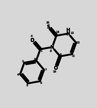 O=C(c1ccccc1)n1c(=O)cc[nH]c1=S